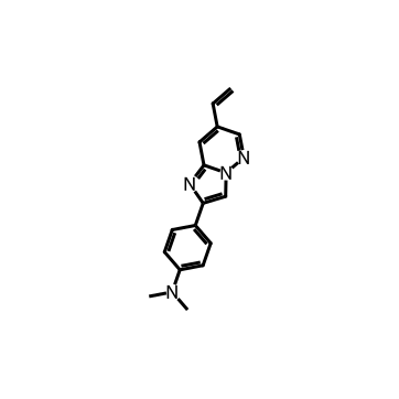 C=Cc1cnn2cc(-c3ccc(N(C)C)cc3)nc2c1